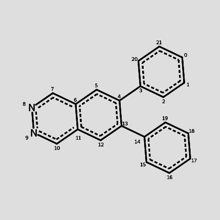 c1ccc(-c2cc3cnncc3cc2-c2ccccc2)cc1